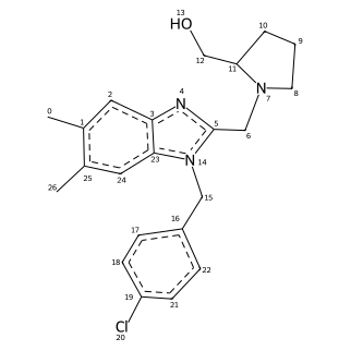 Cc1cc2nc(CN3CCCC3CO)n(Cc3ccc(Cl)cc3)c2cc1C